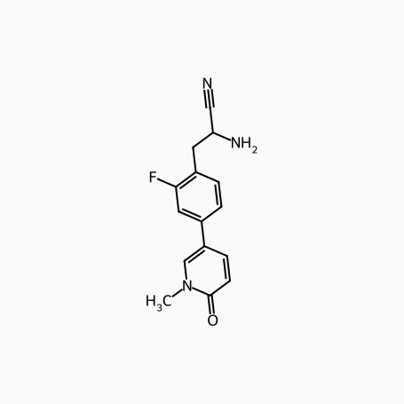 Cn1cc(-c2ccc(CC(N)C#N)c(F)c2)ccc1=O